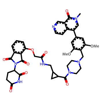 COc1cc(-c2cn(C)c(=O)c3cnccc23)cc(OC)c1CN1CCN(C(=O)C2CC2CNC(=O)COc2cccc3c2C(=O)N(C2CCC(=O)NC2=O)C3=O)CC1